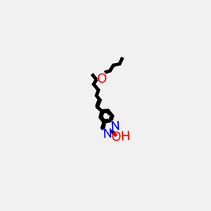 CCCCCOC(C)CCCC=Cc1ccc2nc(O)ncc2c1